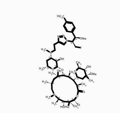 CC[C@H]1OC(=O)[C@H](C)C([C@H]2C[C@@](C)(OC)[C@@H](O)[C@H](C)O2)[C@H](C)[C@@H](O[C@@H]2O[C@H](C)C[C@H](N(C)CCc3cn([C@H](CF)[C@H](OC)c4ccc(C(=O)O)cc4)nn3)[C@H]2O)[C@](C)(O)C[C@@H](C)CN(C)[C@H](C)[C@@H](O)[C@]1(C)O